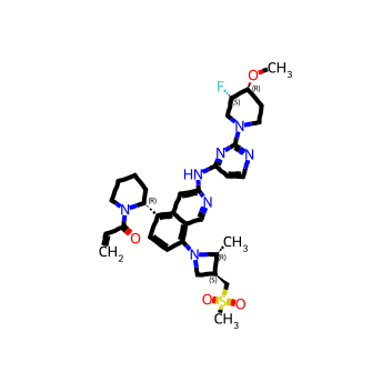 C=CC(=O)N1CCCC[C@@H]1c1ccc(N2C[C@H](CS(C)(=O)=O)[C@H]2C)c2cnc(Nc3ccnc(N4CC[C@@H](OC)[C@@H](F)C4)n3)cc12